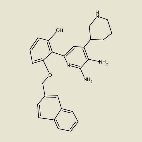 Nc1nc(-c2c(O)cccc2OCc2ccc3ccccc3c2)cc(C2CCCNC2)c1N